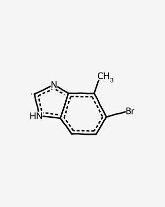 Cc1c(Br)ccc2[nH][c]nc12